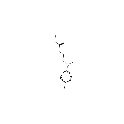 CNC(=S)NCCN(C)c1ncc(C)cn1